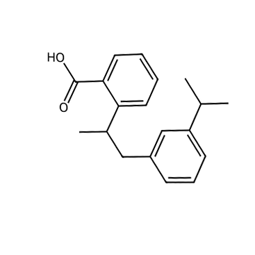 CC(C)c1cccc(CC(C)c2ccccc2C(=O)O)c1